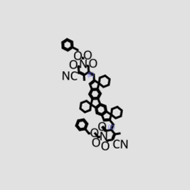 CC1=C(C#N)C(=O)N(C(=O)OCc2ccccc2)C(=O)/C1=C\C1=Cc2cc3c(cc2C12CCCCC2)-c1cc2c(cc1C31CCCCC1)C=C(/C=C1/C(=O)N(C(=O)OCc3ccccc3)C(=O)C(C#N)=C1C)C21CCCCC1